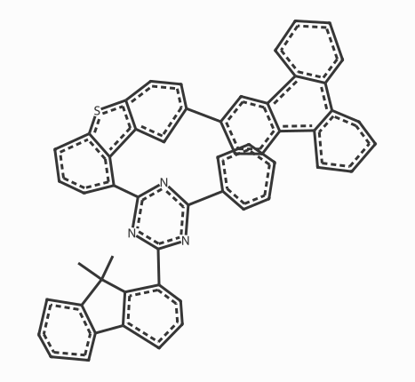 CC1(C)c2ccccc2-c2cccc(-c3nc(-c4ccccc4)nc(-c4cccc5sc6ccc(-c7ccc8c9ccccc9c9ccccc9c8c7)cc6c45)n3)c21